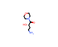 NCC[C@H](O)C(=O)N1CCOCC1